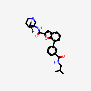 CC(C)CNC(=O)c1cccc(-c2cccc3cc(C(=O)N[C@H]4CN5CCC4CC5)oc23)c1